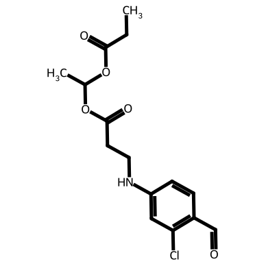 CCC(=O)OC(C)OC(=O)CCNc1ccc(C=O)c(Cl)c1